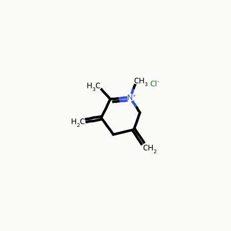 C=C1CC(=C)C(C)=[N+](C)C1.[Cl-]